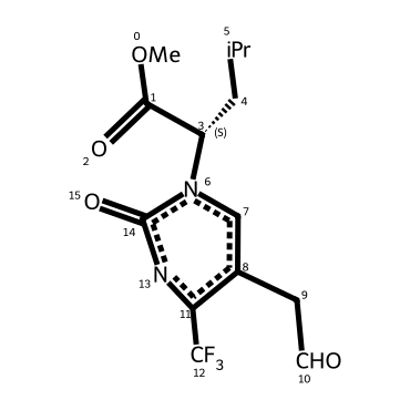 COC(=O)[C@H](CC(C)C)n1cc(CC=O)c(C(F)(F)F)nc1=O